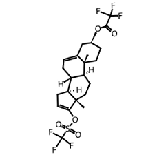 C[C@]12CC[C@H](OC(=O)C(F)(F)F)CC1=CC[C@@H]1[C@@H]2CC[C@]2(C)C(OS(=O)(=O)C(F)(F)F)=CC[C@@H]12